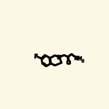 NCC(=O)CN1CCc2ccc(F)cc2C1